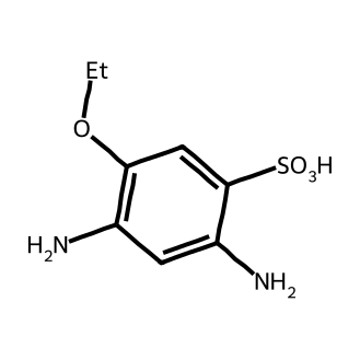 CCOc1cc(S(=O)(=O)O)c(N)cc1N